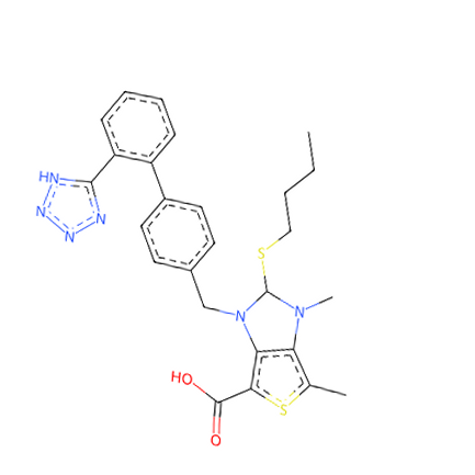 CCCCSC1N(C)c2c(C)sc(C(=O)O)c2N1Cc1ccc(-c2ccccc2-c2nnn[nH]2)cc1